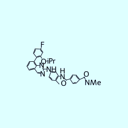 CNC(=O)c1ccc(C(=O)Nc2cc(Nc3ncc4cccc(-c5ccc(F)cc5OC(C)C)c4n3)ccc2C)cc1